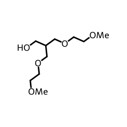 COCCOCC(CO)COCCOC